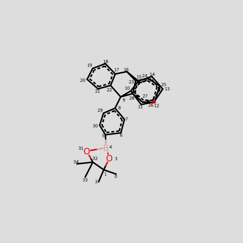 CC1(C)OB(c2ccc(C34c5ccccc5C(c5ccccc53)c3ccccc34)cc2)OC1(C)C